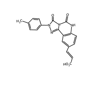 Cc1ccc(-n2nc3c4cc(/C=C/C(=O)O)ccc4[nH]c(=O)n3c2=O)cc1